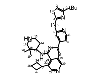 CC(C)(C)c1csc(Nc2cc(-c3nc(NC4CCNCC4(C)C)c4c(C5CCC5)cncc4n3)ccn2)n1